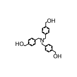 OCc1ccc(CN(Cc2ccc(CO)cc2)Cc2ccc(CO)cc2)cc1